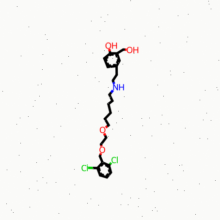 OCc1cc(CCNCCCCCCOCCOCc2c(Cl)cccc2Cl)ccc1O